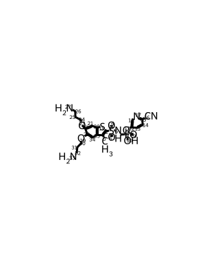 Cc1c(S(=O)(=O)NCP(=O)(O)Oc2ccc(C#N)nc2)sc2cc(OCCCN)c(OCCCN)cc12